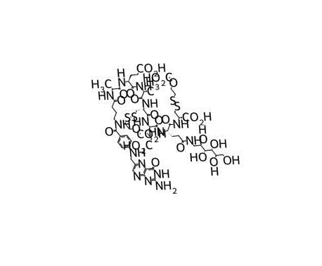 C[C@H](NC(=O)CCCNC(=O)c1ccc(NCc2cnc3nc(N)[nH]c(=O)c3n2)cc1)C(=O)N[C@@H](CCC(=O)O)C(=O)N[C@@H](C)C(=O)N[C@@H](CSSCCOC(=O)O)C(=O)N[C@@H](CCC(=O)O)C(=O)N[C@@H](CCC(=O)NC[C@H](O)[C@@H](O)[C@H](O)[C@H](O)CO)C(=O)N[C@@H](CSSCCOC(=O)O)C(=O)O